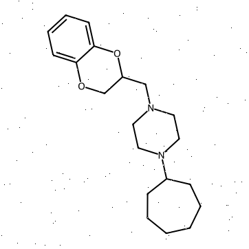 c1ccc2c(c1)OCC(CN1CCN(C3CCCCCC3)CC1)O2